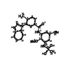 COc1c(NC(=O)c2ccc(C)c(-n3nnc4ccccc43)c2)cc(C(C)(C)C)cc1NS(C)(=O)=O